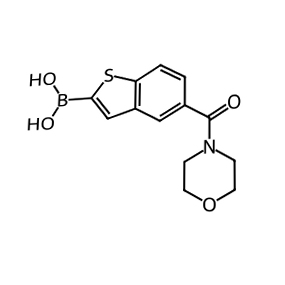 O=C(c1ccc2sc(B(O)O)cc2c1)N1CCOCC1